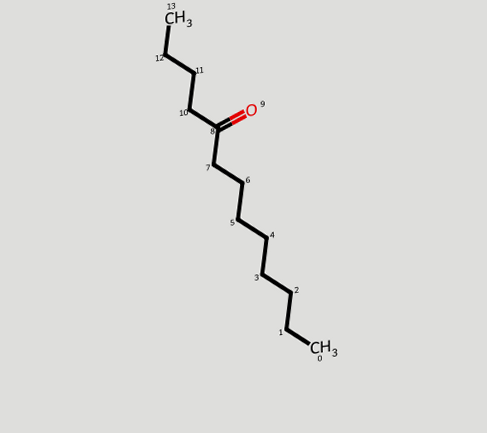 CCCCCCCCC(=O)CCCC